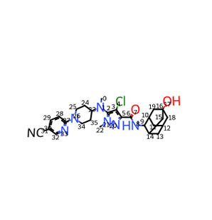 CN(c1c(Cl)c(C(=O)NC2C3CC4CC2CC(O)(C4)C3)nn1C)C1CCN(c2ccc(C#N)cn2)CC1